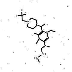 CCN1C=C([C@@H](C)CNNC)C(C)C(C)=C1C(C)N1CCN(CC(F)(F)F)CC1